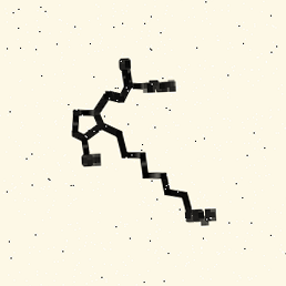 CCCCCC(=O)C=CC1CCC(O)C1CCCCCCCC(=O)O